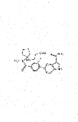 CN(C(=O)c1ccc(-c2ccc3[nH]cc(C(N)=O)c3c2)c(F)c1)C1(NCCC=O)CCCC1